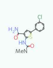 CNC(=O)Nc1sc(-c2cccc(Cl)c2)cc1C(N)=O